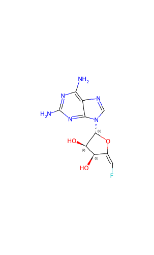 Nc1nc(N)c2ncn([C@@H]3OC(=CF)[C@@H](O)[C@H]3O)c2n1